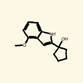 COc1cccc2[nH]c(C3(O)CCCC3)cc12